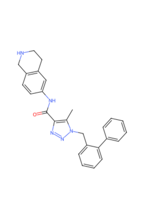 Cc1c(C(=O)Nc2ccc3c(c2)CCNC3)nnn1Cc1ccccc1-c1ccccc1